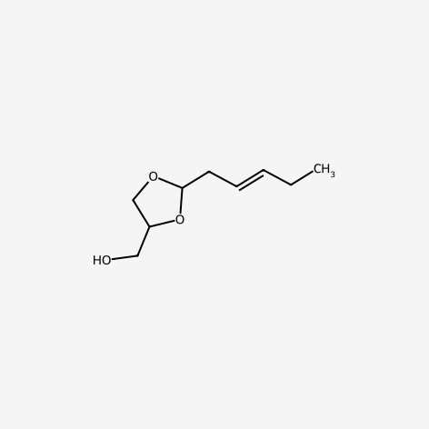 CCC=CCC1OCC(CO)O1